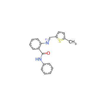 Cc1ccc(/C=N/c2ccccc2C(=O)Nc2ccccc2)s1